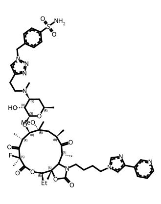 CC[C@H]1OC(=O)[C@@](C)(F)C(=O)[C@H](C)[C@@H](O[C@@H]2O[C@H](C)C[C@H](N(C)CCc3cn(Cc4ccc(S(N)(=O)=O)cc4)nn3)[C@H]2O)[C@](C)(OC)C[C@@H](C)C(=O)[C@H](C)C2N(CCCCn3cnc(-c4cccnc4)c3)C(=O)O[C@@]21C